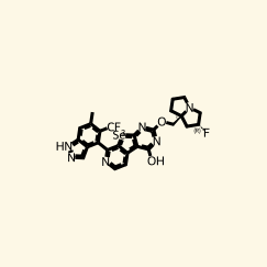 Cc1cc2[nH]ncc2c(-c2nccc3c2[se]c2nc(OC[C@@]45CCCN4C[C@H](F)C5)nc(O)c23)c1C(F)(F)F